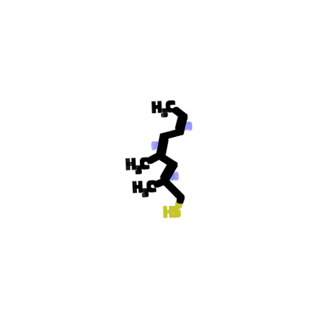 C\C=C/C=C(C)\C=C(/C)CS